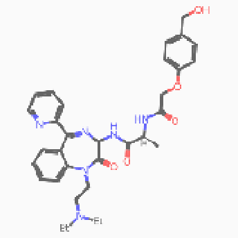 CCN(CC)CCN1C(=O)C(NC(=O)[C@H](C)NC(=O)COc2ccc(CO)cc2)N=C(c2ccccn2)c2ccccc21